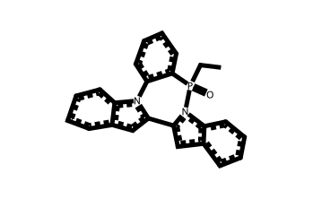 CCP1(=O)c2ccccc2-n2c(cc3ccccc32)-c2cc3ccccc3n21